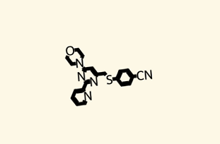 N#Cc1ccc(SCc2cc(N3CCOCC3)nc(-c3ccccn3)n2)cc1